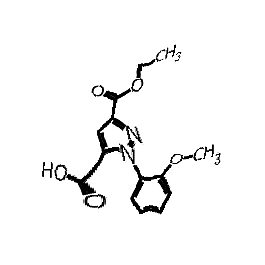 CCOC(=O)c1cc(C(=O)O)n(-c2ccccc2OC)n1